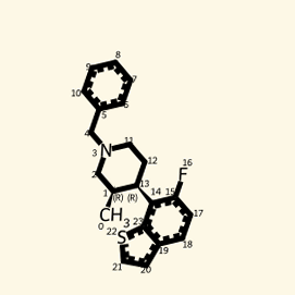 C[C@H]1CN(Cc2ccccc2)CC[C@H]1c1c(F)ccc2ccsc12